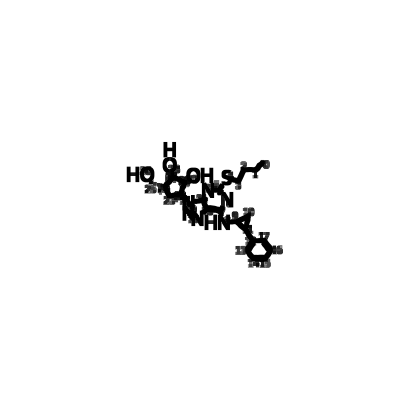 CCCCSc1nc(NC2CC2c2ccccc2)c2nnn([C@@H]3C[C@H](CO)[C@@H](O)[C@H]3O)c2n1